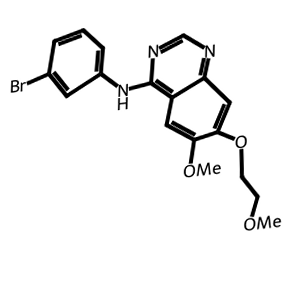 COCCOc1cc2ncnc(Nc3cccc(Br)c3)c2cc1OC